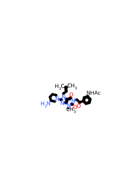 CC(=O)Nc1cccc(C(=O)Cn2c(=O)c3c(nc(N4CCCC(N)C4)n3CC=C(C)C)n(C)c2=O)c1